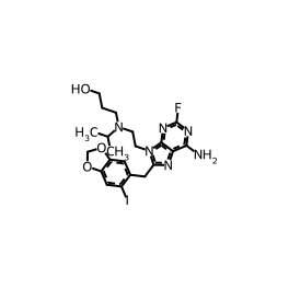 CC(C)N(CCCO)CCn1c(Cc2cc3c(cc2I)OCO3)nc2c(N)nc(F)nc21